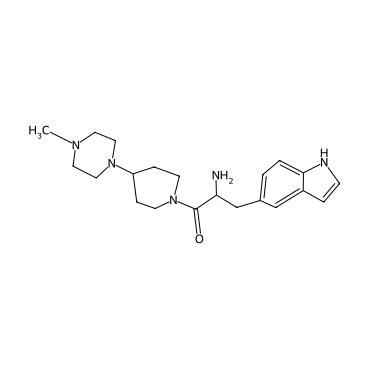 CN1CCN(C2CCN(C(=O)C(N)Cc3ccc4[nH]ccc4c3)CC2)CC1